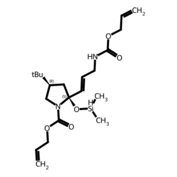 C=CCOC(=O)NCC=C[C@@]1(O[SiH](C)C)C[C@H](C(C)(C)C)CN1C(=O)OCC=C